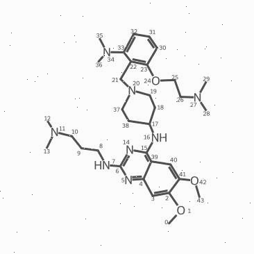 COc1cc2nc(NCCCN(C)C)nc(NC3CCN(Cc4c(OCCN(C)C)cccc4N(C)C)CC3)c2cc1OC